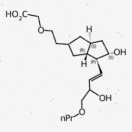 CCCOCC(O)C=C[C@H]1[C@@H]2CC(CCOCC(=O)O)C[C@H]2C[C@@H]1O